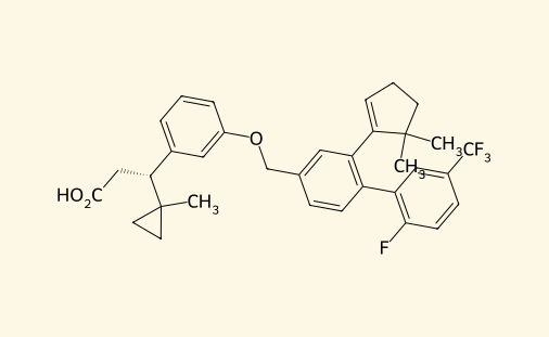 CC1(C)CCC=C1c1cc(COc2cccc([C@@H](CC(=O)O)C3(C)CC3)c2)ccc1-c1cc(C(F)(F)F)ccc1F